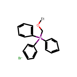 CCOC[P+](c1ccccc1)(c1ccccc1)c1ccccc1.[Br-]